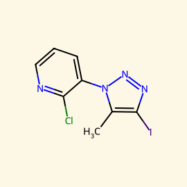 Cc1c(I)nnn1-c1cccnc1Cl